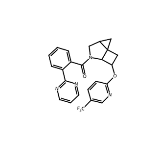 O=C(c1ccccc1-c1ncccn1)N1CC2CC23CC(Oc2ccc(C(F)(F)F)cn2)C13